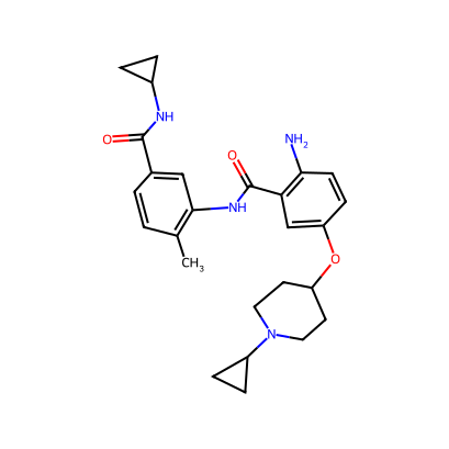 Cc1ccc(C(=O)NC2CC2)cc1NC(=O)c1cc(OC2CCN(C3CC3)CC2)ccc1N